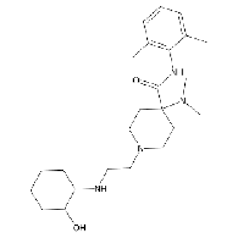 Cc1cccc(C)c1NC(=O)C1(N(C)C)CCN(CCNC2CCCCC2O)CC1